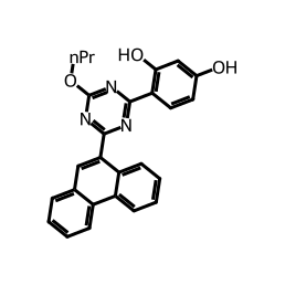 CCCOc1nc(-c2ccc(O)cc2O)nc(-c2cc3ccccc3c3ccccc23)n1